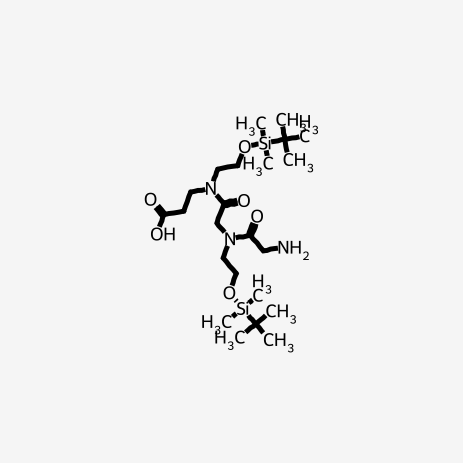 CC(C)(C)[Si](C)(C)OCCN(CCC(=O)O)C(=O)CN(CCO[Si](C)(C)C(C)(C)C)C(=O)CN